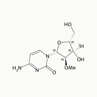 [2H][C@@]1(O)[C@@H](CO)O[C@@H](n2ccc(N)nc2=O)[C@@H]1OC